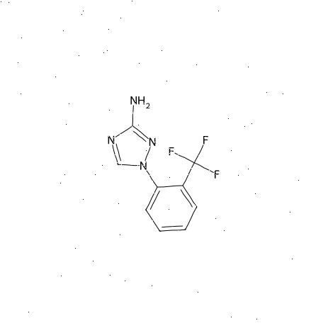 Nc1ncn(-c2ccccc2C(F)(F)F)n1